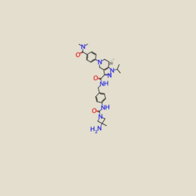 CC(C)n1nc(C(=O)NCc2ccc(NC(=O)N3CC(C)(N)C3)cc2)c2c1[C@@H](C)CN(c1ccc(C(=O)N(C)C)cc1)C2